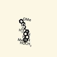 COC[C@]12CC[C@@](C)(O)C[C@H]1CC[C@H]1[C@@H]3CC[C@H](C(=O)Cn4cc5c(OC)cccc5n4)[C@@]3(C)CC[C@@H]12